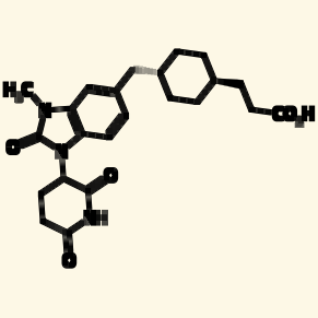 Cn1c(=O)n(C2CCC(=O)NC2=O)c2ccc(C[C@H]3CC[C@H](CCC(=O)O)CC3)cc21